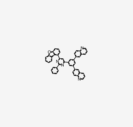 c1ccc(-c2nc(-c3cc(-c4ccc5ncccc5c4)cc(-c4ccc5ncccc5c4)c3)cc(-c3cccc4oc5ccccc5c34)n2)cc1